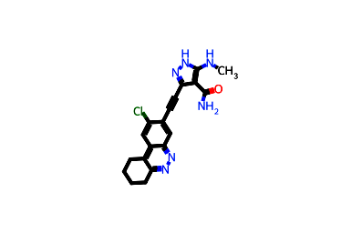 CNc1[nH]nc(C#Cc2cc3nnc4c(c3cc2Cl)CCCC4)c1C(N)=O